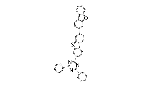 c1ccc(-c2nc(-c3ccccc3)nc(-c3ccc4c(c3)sc3cc(-c5ccc6c(c5)oc5ccccc56)ccc34)n2)cc1